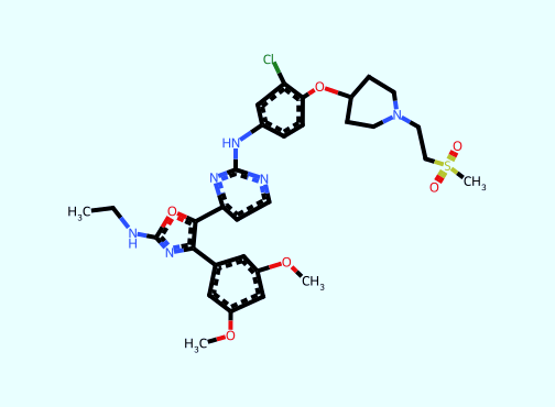 CCNc1nc(-c2cc(OC)cc(OC)c2)c(-c2ccnc(Nc3ccc(OC4CCN(CCS(C)(=O)=O)CC4)c(Cl)c3)n2)o1